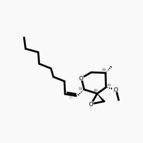 CCCCCCC/C=C\[C@@H]1OC[C@H](C)[C@H](OC)[C@@]12CO2